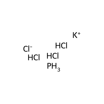 Cl.Cl.Cl.P.[Cl-].[K+]